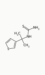 CC(C)(NC(N)=S)c1ccsc1